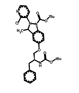 CC1c2cc(OC[C@H](Cc3ccccc3)NC(=O)OC(C)(C)C)ccc2N(C(=O)OC(C)(C)C)N1c1cccnc1Cl